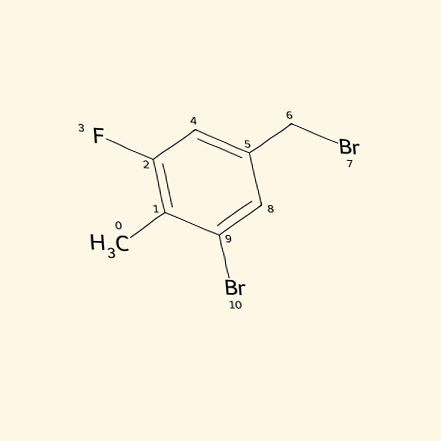 Cc1c(F)cc(CBr)cc1Br